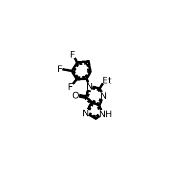 CCc1nc2[nH]cnc2c(=O)n1-c1ccc(F)c(F)c1F